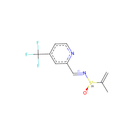 C=C(C)[S@@+]([O-])/N=C/c1cc(C(F)(F)F)ccn1